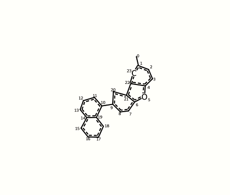 Cc1ccc2oc3ccc(-c4cccc5ccccc45)cc3c2c1